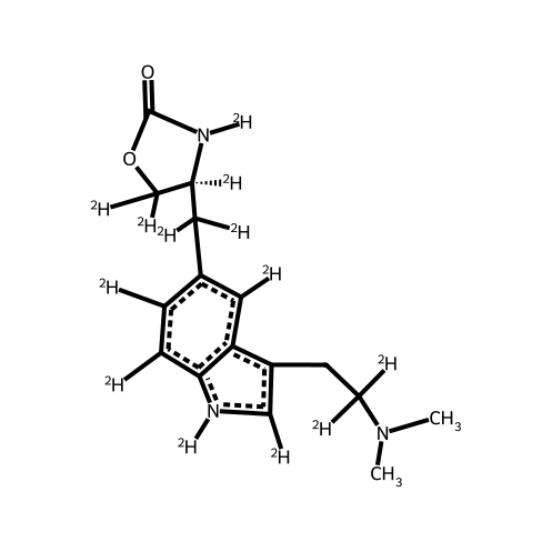 [2H]c1c(C([2H])([2H])[C@]2([2H])N([2H])C(=O)OC2([2H])[2H])c([2H])c2c(CC([2H])([2H])N(C)C)c([2H])n([2H])c2c1[2H]